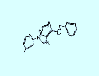 Cc1ccnc(-n2cnc3c(OCc4ccccc4)ncnc32)c1